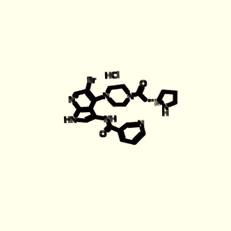 Cl.O=C(Nc1c[nH]c2ncc(Br)c(N3CCN(C(=O)C[C@@H]4CCCN4)CC3)c12)c1cccnc1